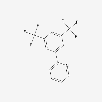 FC(F)(F)c1cc(-c2ccccn2)cc(C(F)(F)F)c1